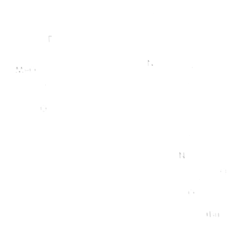 COC(=O)c1ccc([C@@H]2CCCCN2Cc2c(C3CC3)cc(C)c3c2ccn3C(=O)OC(C)(C)C)cc1F